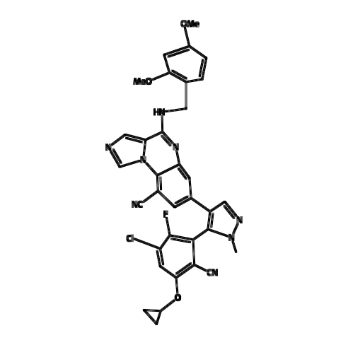 COc1ccc(CNc2nc3cc(-c4cnn(C)c4-c4c(F)c(Cl)cc(OC5CC5)c4C#N)cc(C#N)c3n3cncc23)c(OC)c1